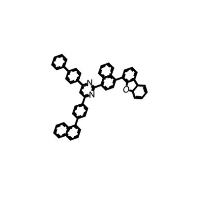 C1=CC2Oc3c(-c4ccc(-c5nc(-c6ccc(-c7ccccc7)cc6)cc(-c6ccc(-c7cccc8ccccc78)cc6)n5)c5ccccc45)cccc3C2C=C1